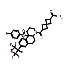 CC(=O)C1CC2(C1)CC(C(=O)N1CCCC3(S(=O)(=O)c4ccc(I)cc4)c4ccc(C(F)(C(F)(F)F)C(F)(F)F)cc4CCC13)C2